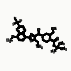 COc1ccc(-c2nc(C(=O)N3CCN(C(=O)OC(C)(C)C)C(CO)C3)c(CN)o2)c2ccc(C(F)(F)F)nc12